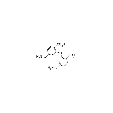 NCc1ccc(C(=O)O)c(Oc2cc(CN)ccc2C(=O)O)c1